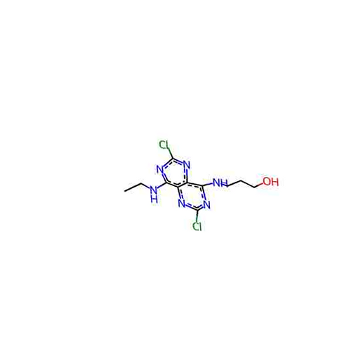 CCNc1nc(Cl)nc2c(NCCCO)nc(Cl)nc12